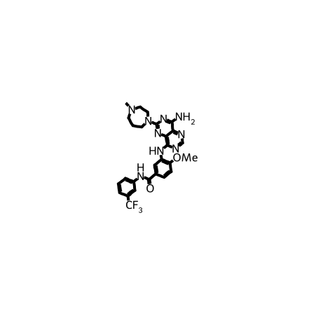 COc1ccc(C(=O)Nc2cccc(C(F)(F)F)c2)cc1Nc1ncnc2c(N)nc(N3CCCN(C)CC3)nc12